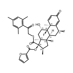 Cc1cc(C)c(C(=O)CSC(=O)[C@@]2(OC(=O)c3ccco3)[C@H](C)C[C@H]3[C@@H]4C[C@H](F)C5=CC(=O)C=C[C@]5(C)[C@@]4(F)[C@@H](O)C[C@@]32C)c(C)c1